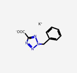 O=C([O-])c1nnn(Cc2ccccc2)n1.[K+]